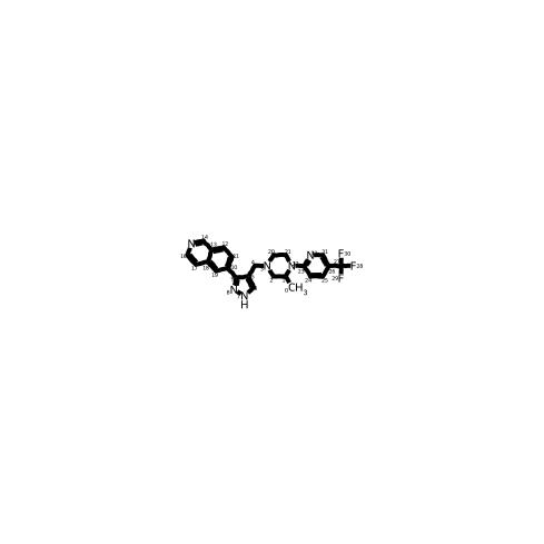 CC1CN(Cc2c[nH]nc2-c2ccc3cnccc3c2)CCN1c1ccc(C(F)(F)F)cn1